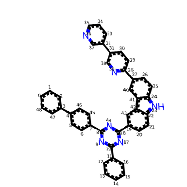 c1ccc(-c2ccc(-c3nc(-c4ccccc4)nc(-c4ccc5[nH]c6ccc(-c7ccc(-c8cccnc8)cn7)cc6c5c4)n3)cc2)cc1